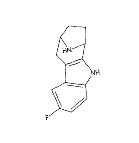 Fc1ccc2[nH]c3c(c2c1)CC1CCC3N1